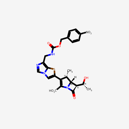 C[C@@H](O)[C@H]1C(=O)N2C(C(=O)O)=C(c3cn4cnc(CNC(=O)OCc5ccc([N+](=O)[O-])cc5)c4s3)[C@H](C)[C@H]12